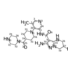 Cc1cncc(NC(=O)c2c(N)nn3c2NCC(F)C3)c1N1CCC(C(=O)N2CCNCC2)CC1